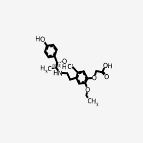 CCOc1cc(CCN[C@@H](C)[C@@H](O)c2ccc(O)cc2)c(Cl)cc1OCC(=O)O